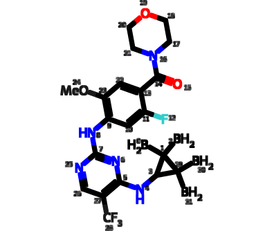 BC1(B)C(Nc2nc(Nc3cc(F)c(C(=O)N4CCOCC4)cc3OC)ncc2C(F)(F)F)C1(B)B